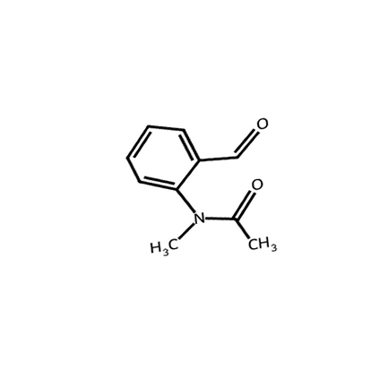 CC(=O)N(C)c1ccccc1C=O